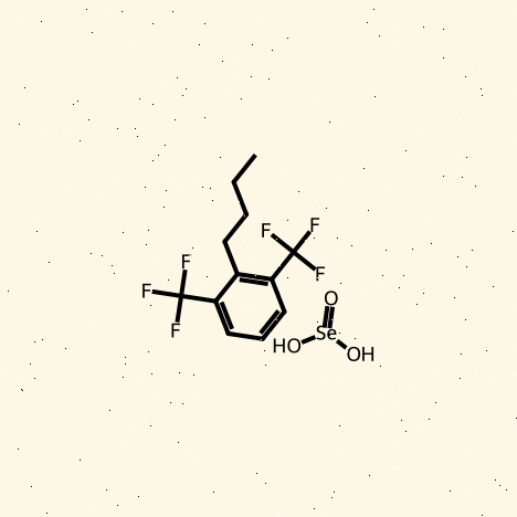 CCCCc1c(C(F)(F)F)cccc1C(F)(F)F.O=[Se](O)O